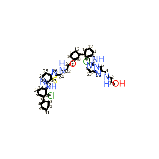 OCCNCc1cn2c(Nc3cccc(-c4cccc(OCCNCc5nc6ccnc(Nc7cccc(-c8ccccc8)c7Cl)c6s5)c4)c3Cl)nccc2n1